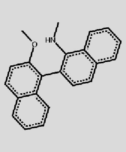 CNc1c(-c2c(OC)ccc3ccccc23)ccc2ccccc12